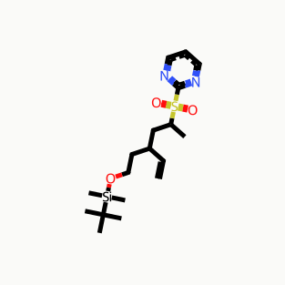 C=CC(CCO[Si](C)(C)C(C)(C)C)CC(C)S(=O)(=O)c1ncccn1